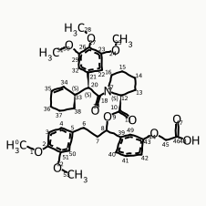 COc1ccc(CCC(OC(=O)[C@@H]2CCCCN2C(=O)[C@H](c2cc(OC)c(OC)c(OC)c2)[C@@H]2C=CCCC2)c2cccc(OCC(=O)O)c2)cc1OC